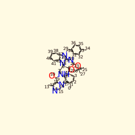 Cc1ccc(C[C@@H](CNC(=O)c2c(C)ncn2C)n2c(=NC(=O)OC(C)(C)C)n(Cc3ccc(C)cc3)c3ccccc32)cc1